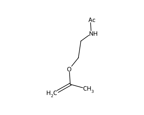 C=C(C)OCCNC(C)=O